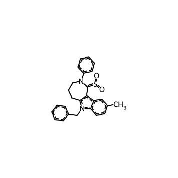 Cc1ccc2c(c1)c1c(n2Cc2ccccc2)CCCN(c2ccccc2)C1=S(=O)=O